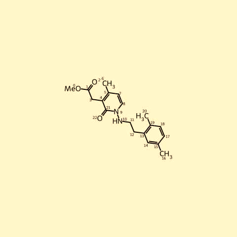 COC(=O)Cc1c(C)ccn(NCCc2cc(C)ccc2C)c1=O